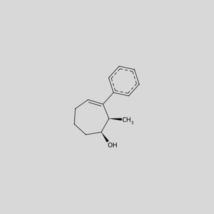 C[C@@H]1C(c2ccccc2)=CCCC[C@@H]1O